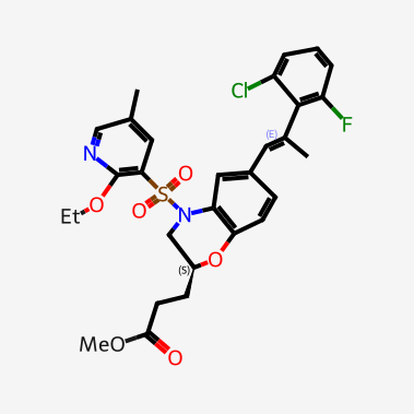 CCOc1ncc(C)cc1S(=O)(=O)N1C[C@H](CCC(=O)OC)Oc2ccc(/C=C(\C)c3c(F)cccc3Cl)cc21